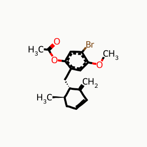 C=C1C=CC[C@@H](C)[C@@H]1Cc1cc(OC)c(Br)cc1OC(C)=O